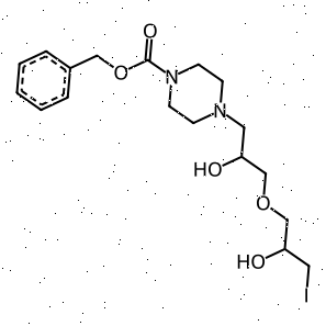 O=C(OCc1ccccc1)N1CCN(CC(O)COCC(O)CI)CC1